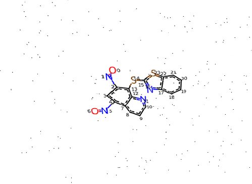 O=Nc1cc(N=O)c2cccnc2c1Sc1nc2ccccc2s1